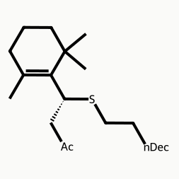 CCCCCCCCCCCCS[C@H](CC(C)=O)C1=C(C)CCCC1(C)C